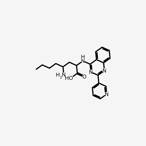 CCCCC(N)CC(Nc1nc(-c2cccnc2)nc2ccccc12)C(=O)O